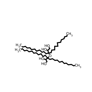 CCCCCCCCCCCCC(CCCCCCCCCCCC)(OC(CCCCCCCCCCCC)(CCCCCCCCCCCC)C(O)CO)C(O)CO